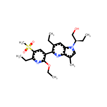 CCOc1nc(CC)c(S(C)(=O)=O)cc1-c1nc2c(C)cn([C@H](CC)CO)c2cc1CC